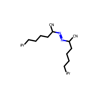 CC(C)CCCCC(C#N)N=NC(C#N)CCCCC(C)C